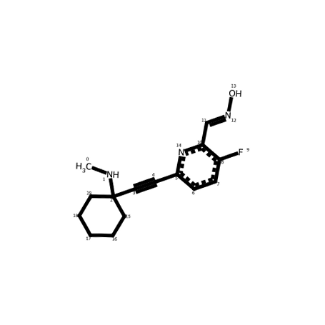 CNC1(C#Cc2ccc(F)c(/C=N/O)n2)CCCCC1